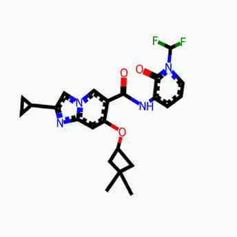 CC1(C)CC(Oc2cc3nc(C4CC4)cn3cc2C(=O)Nc2cccn(C(F)F)c2=O)C1